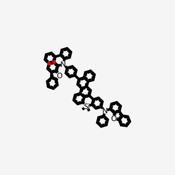 C[Si]1(C)c2cc(N(c3ccccc3)c3cccc4c3oc3ccccc34)ccc2-c2cc3c4ccccc4c(-c4ccc(N(c5ccccc5-c5ccccc5)c5cccc6c5oc5ccccc56)cc4)cc3c3cccc1c23